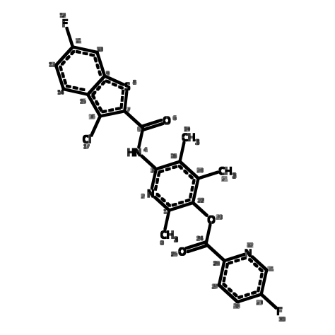 Cc1nc(NC(=O)c2sc3cc(F)ccc3c2Cl)c(C)c(C)c1OC(=O)c1ccc(F)cn1